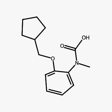 CN(C(=O)O)c1ccccc1OCC1CCCC1